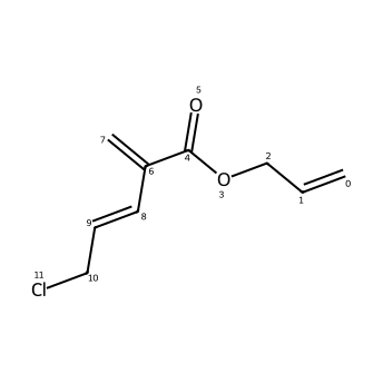 C=CCOC(=O)C(=C)C=CCCl